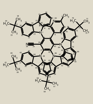 Cc1ccc(-c2c(-n3c4ccccc4c4cc(C(C)(C)C)ccc43)c(C#N)c(-n3c4ccccc4c4cc(C(C)(C)C)ccc43)c(-n3c4ccccc4c4cc(C(C)(C)C)ccc43)c2-n2c3ccccc3c3cc(C(C)(C)C)ccc32)c(C)n1